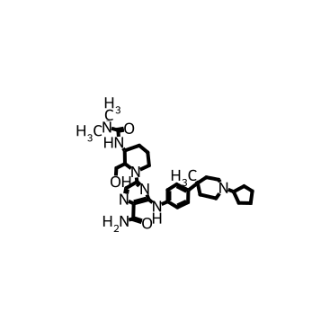 CN(C)C(=O)NC1CCCN(c2cnc(C(N)=O)c(Nc3ccc(C4(C)CCN(C5CCCC5)CC4)cc3)n2)C1CO